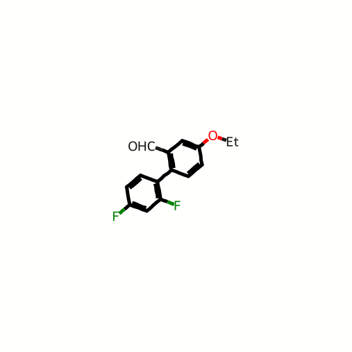 CCOc1ccc(-c2ccc(F)cc2F)c(C=O)c1